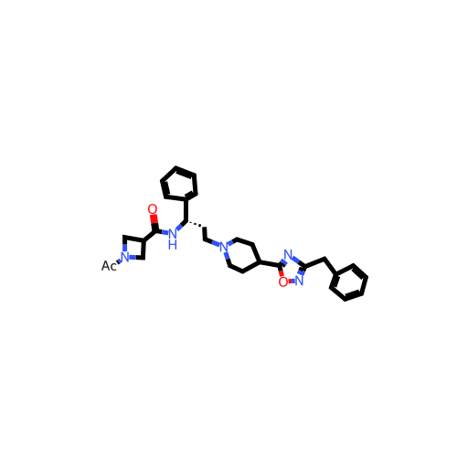 CC(=O)N1CC(C(=O)N[C@@H](CCN2CCC(c3nc(Cc4ccccc4)no3)CC2)c2ccccc2)C1